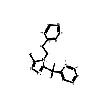 Cc1nnc(C(C)(C)c2ccccn2)n1CCc1ccccc1